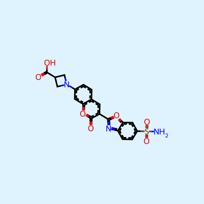 NS(=O)(=O)c1ccc2nc(-c3cc4ccc(N5CC(C(=O)O)C5)cc4oc3=O)oc2c1